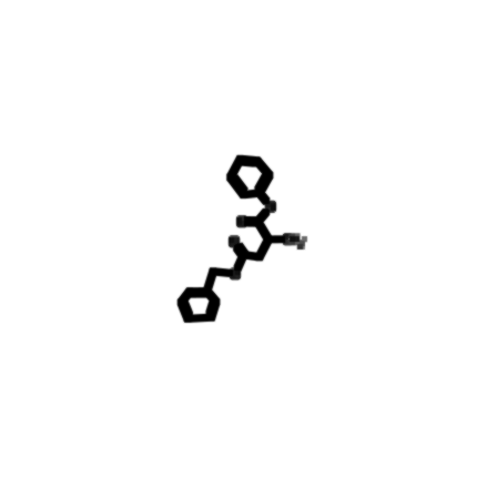 [CH2]C(CC(=O)OCc1ccccc1)C(=O)Oc1ccccc1